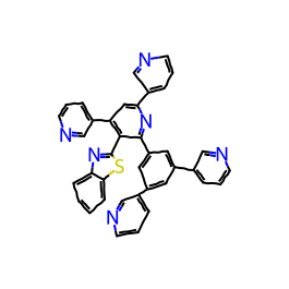 c1cncc(-c2cc(-c3cccnc3)cc(-c3nc(-c4cccnc4)cc(-c4cccnc4)c3-c3nc4ccccc4s3)c2)c1